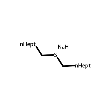 CCCCCCCCSCCCCCCCC.[NaH]